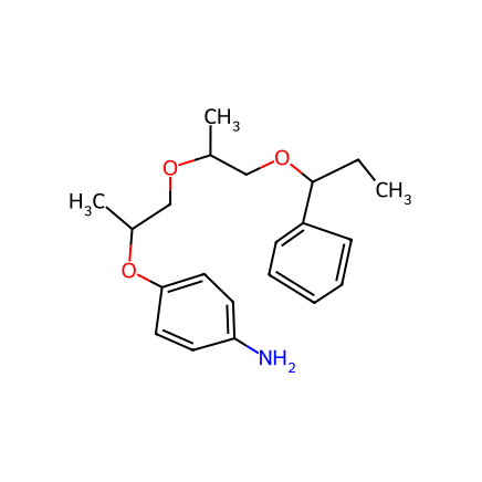 CCC(OCC(C)OCC(C)Oc1ccc(N)cc1)c1ccccc1